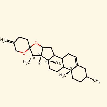 C=C1CCC2(OC1)OC1CC3C4CC=C5CC(C)CC[C@]5(C)C4CC[C@]3(C)[C@H]1[C@@H]2C